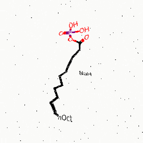 CCCCCCCC/C=C\CCCCCCCC(=O)OP(=O)(O)O.[NaH]